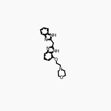 c1ccc2[nH]c(Cc3nc4cccc(OCCN5CCOCC5)c4[nH]3)nc2c1